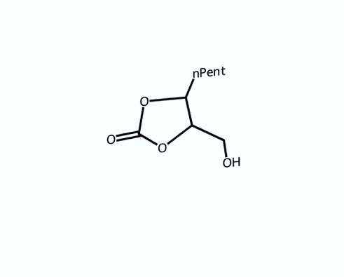 CCCCCC1OC(=O)OC1CO